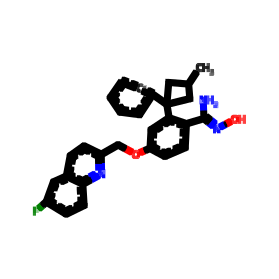 CC1CC(c2ccccc2)(c2cc(OCc3ccc4cc(F)ccc4n3)ccc2/C(N)=N/O)C1